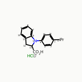 CC(C)c1ccc(N2c3ccccc3CC2C(=O)O)cc1.Cl